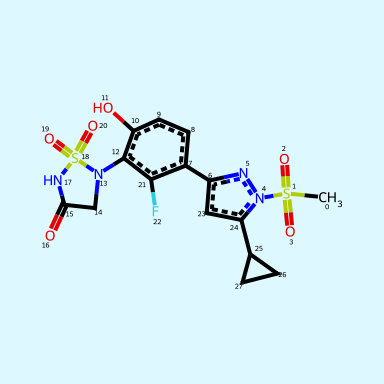 CS(=O)(=O)n1nc(-c2ccc(O)c(N3CC(=O)NS3(=O)=O)c2F)cc1C1CC1